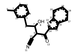 Cc1cccc(CC(O)C(C#N)C(=O)c2cc3ccccc3s2)c1